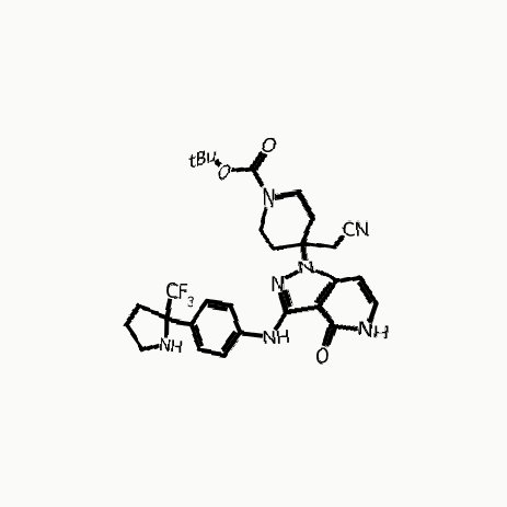 CC(C)(C)OC(=O)N1CCC(CC#N)(n2nc(Nc3ccc(C4(C(F)(F)F)CCCN4)cc3)c3c(=O)[nH]ccc32)CC1